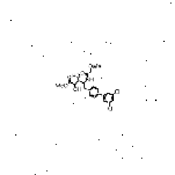 COCC(=O)NC(Cc1ccc(-c2cc(Cl)cc(Cl)c2)cc1)C(O)C(O)C(=O)OC